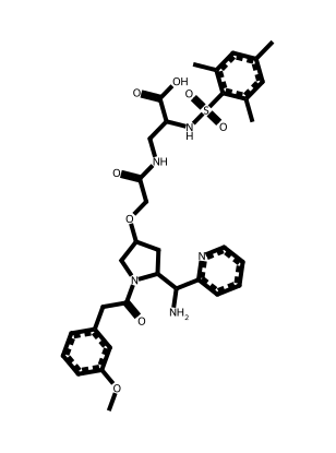 COc1cccc(CC(=O)N2CC(OCC(=O)NCC(NS(=O)(=O)c3c(C)cc(C)cc3C)C(=O)O)CC2C(N)c2ccccn2)c1